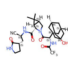 CC1(C)[C@@H]2[C@@H](C(=O)N[C@H](C#N)C[C@@H]3CCNC3=O)N(C(=O)[C@@H](NC(=O)C(F)(F)F)[C@@]34C[C@@H]5C[C@@H](C[C@](O)(C5)C3)C4)C[C@@H]21